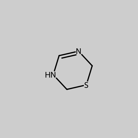 C1=NCSCN1